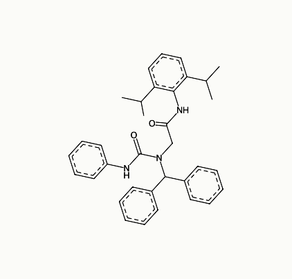 CC(C)c1cccc(C(C)C)c1NC(=O)CN(C(=O)Nc1ccccc1)C(c1ccccc1)c1ccccc1